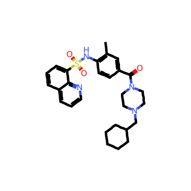 Cc1cc(C(=O)N2CCN(CC3CCCCC3)CC2)ccc1NS(=O)(=O)c1cccc2cccnc12